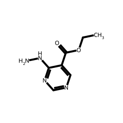 CCOC(=O)c1cncnc1NN